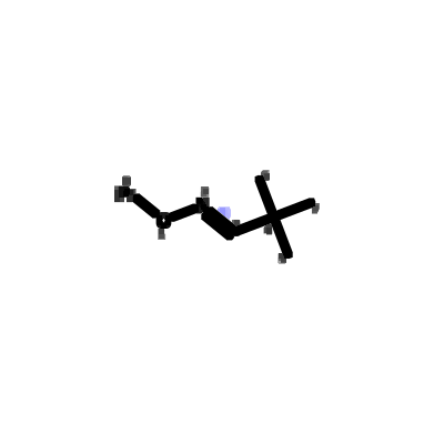 CC(C)O/N=C/C(C)(C)C